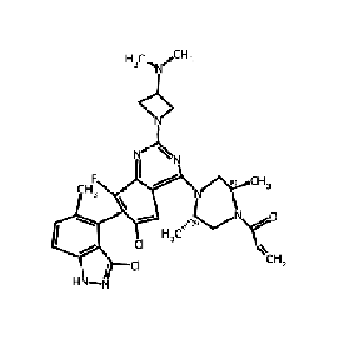 C=CC(=O)N1C[C@H](C)N(c2nc(N3CC(N(C)C)C3)nc3c(F)c(-c4c(C)ccc5[nH]nc(Cl)c45)c(Cl)cc23)C[C@H]1C